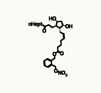 CCCCCCCC(=O)CC[C@@H]1[C@@H](C/C=C\CCCC(=O)OCc2ccccc2CO[N+](=O)[O-])[C@@H](O)C[C@H]1O